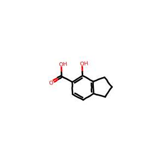 O=C(O)c1ccc2c(c1O)CCC2